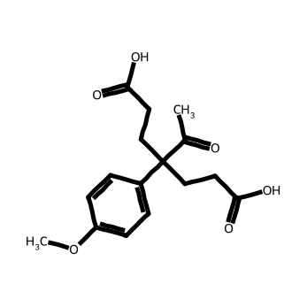 COc1ccc(C(CCC(=O)O)(CCC(=O)O)C(C)=O)cc1